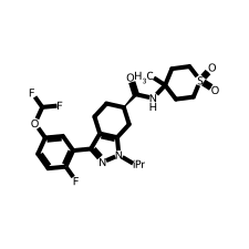 CC(C)n1nc(-c2cc(OC(F)F)ccc2F)c2c1C[C@H](C(=O)NC1(C)CCS(=O)(=O)CC1)CC2